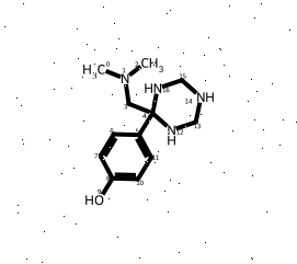 CN(C)CC1(c2ccc(O)cc2)NCNCN1